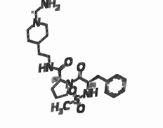 CS(=O)(=O)N[C@H](Cc1ccccc1)C(=O)N1CCC[C@H]1C(=O)NCCC1CCN([CH]N)CC1